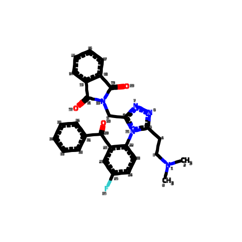 CN(C)CCc1nnc(CN2C(=O)c3ccccc3C2=O)n1-c1ccc(F)cc1C(=O)c1ccccc1